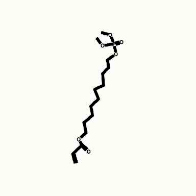 C=CC(=O)OCCCCCCCCCCOP(=O)(OC)OC